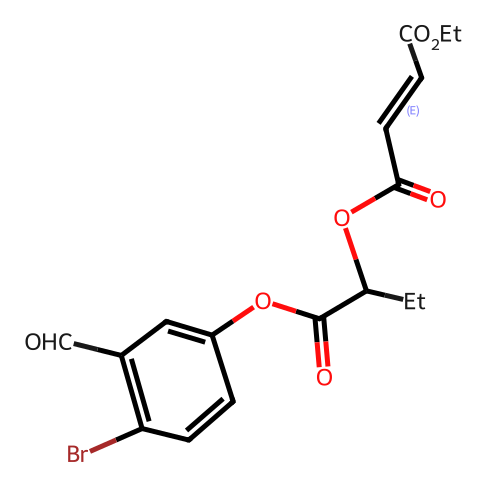 CCOC(=O)/C=C/C(=O)OC(CC)C(=O)Oc1ccc(Br)c(C=O)c1